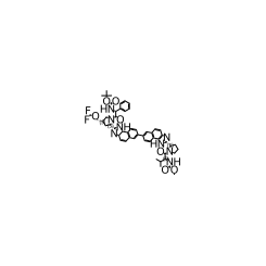 COC(=O)N[C@H](C(=O)N1CCC[C@H]1c1nc2ccc3cc(-c4ccc5c(c4)C=CC4N=C([C@@H]6C[C@H](COC(F)F)CN6C(=O)C(NC(=O)OC(C)(C)C)c6ccccc6)NC54)ccc3c2[nH]1)C(C)C